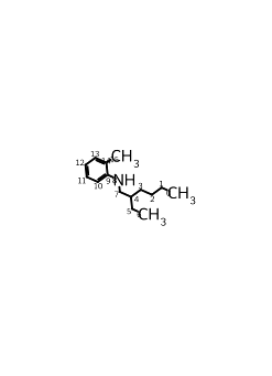 CCCCC(CC)CNc1ccccc1C